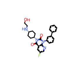 O=c1c2cc(F)cnc2n(-c2cccc(-c3ccccc3)c2)c(=O)n1[C@H]1CC[C@@H](NCCO)CC1